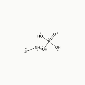 O=P(O)(O)O.[SiH3][Zr]